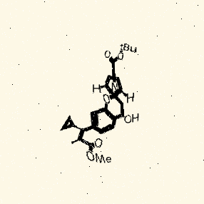 COC(=O)[C@@H](C)[C@H](c1ccc2c(c1)OC1(C[C@@H]2O)[C@H]2CC[C@H]1CN(C(=O)OC(C)(C)C)C2)C1CC1